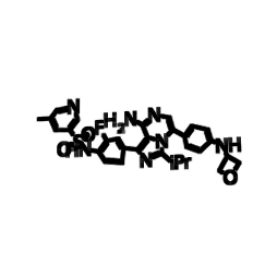 Cc1cncc(S(=O)(=O)Nc2ccc(-c3nc(C(C)C)n4c(-c5ccc(NC6COC6)cc5)cnc(N)c34)cc2F)c1